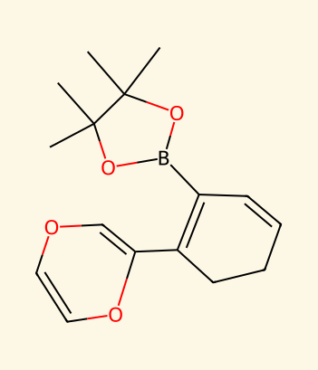 CC1(C)OB(C2=C(C3=COC=CO3)CCC=C2)OC1(C)C